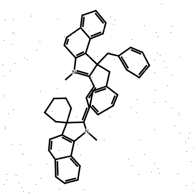 CN1/C(=C/C=C/C2=[N+](C)c3ccc4ccccc4c3C2(Cc2ccccc2)Cc2ccccc2)C2(CCCCC2)c2ccc3ccccc3c21